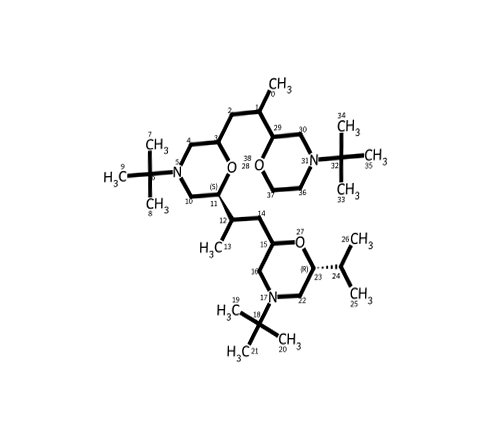 CC(CC1CN(C(C)(C)C)C[C@H](C(C)CC2CN(C(C)(C)C)C[C@@H](C(C)C)O2)O1)C1CN(C(C)(C)C)CCO1